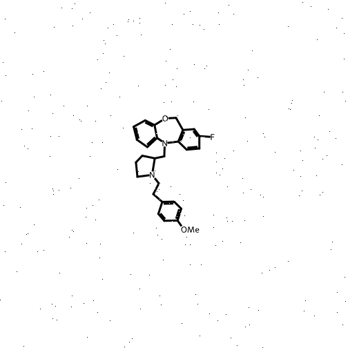 COc1ccc(CCN2CCCC2CN2c3ccc(F)cc3COc3ccccc32)cc1